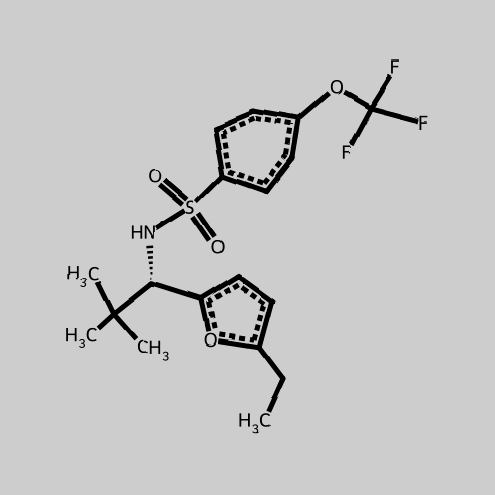 CCc1ccc([C@@H](NS(=O)(=O)c2ccc(OC(F)(F)F)cc2)C(C)(C)C)o1